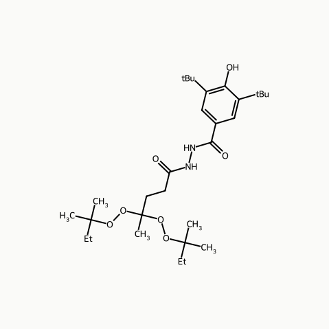 CCC(C)(C)OOC(C)(CCC(=O)NNC(=O)c1cc(C(C)(C)C)c(O)c(C(C)(C)C)c1)OOC(C)(C)CC